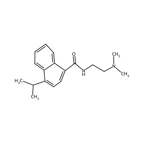 CC(C)c1ccc(C(=O)NCCN(C)C)c2ccccc12